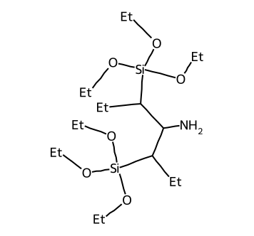 CCO[Si](OCC)(OCC)C(CC)C(N)C(CC)[Si](OCC)(OCC)OCC